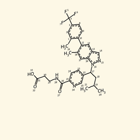 Cc1cc(C(F)(F)F)ccc1-c1cc2cnn(C(CC(C)C)c3ccc(C(=O)NCCC(=O)O)nc3)c2cc1C